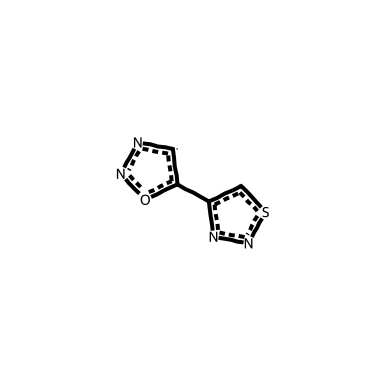 [c]1nnoc1-c1csnn1